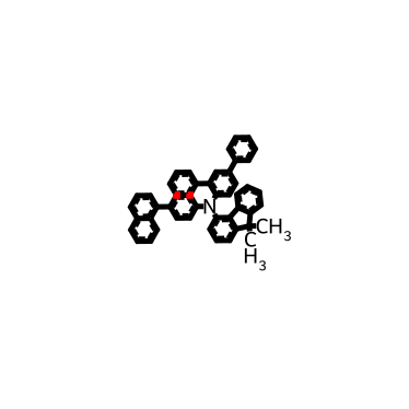 CC1(C)c2ccccc2-c2c(N(c3ccc(-c4cccc5ccccc45)cc3)c3ccc(-c4ccccc4)cc3-c3ccccc3)cccc21